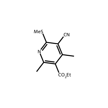 CCOC(=O)c1c(C)nc(SC)c(C#N)c1C